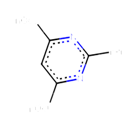 [CH2]CCc1nc(CCCCCCCC)cc(CCCCCCCC)n1